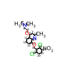 Cc1cc(OCCN(C)C)c2cccc(OCc3c(Cl)ccc([N+](=O)[O-])c3Cl)c2n1